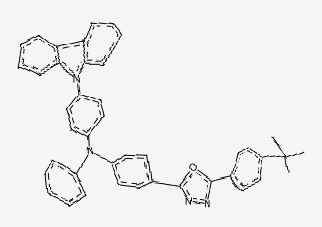 CC(C)(C)c1ccc(-c2nnc(-c3ccc(N(c4ccccc4)c4ccc(-n5c6ccccc6c6ccccc65)cc4)cc3)o2)cc1